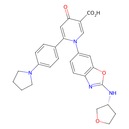 O=C(O)c1cn(-c2ccc3nc(N[C@@H]4CCOC4)oc3c2)c(-c2ccc(N3CCCC3)cc2)cc1=O